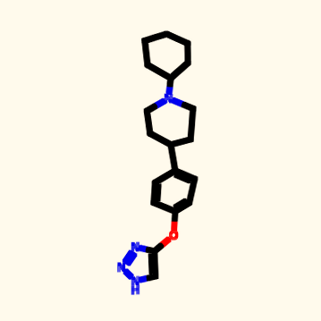 c1cc(C2CCN(C3CCCCC3)CC2)ccc1Oc1c[nH]nn1